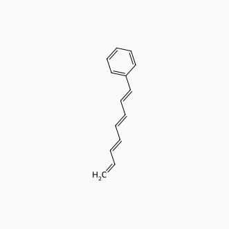 C=C/C=C/C=C/C=C/c1ccccc1